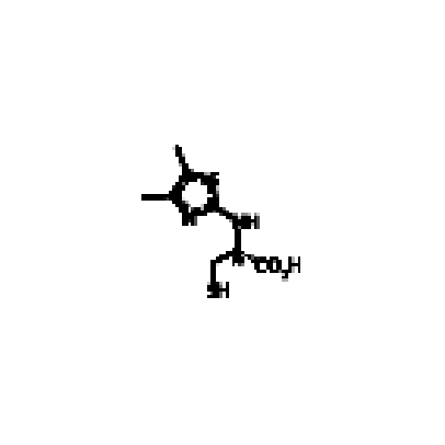 Cc1nc(N[C@@H](CS)C(=O)O)sc1C